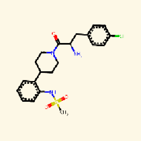 CS(=O)(=O)Nc1ccccc1C1CCN(C(=O)[C@H](N)Cc2ccc(Cl)cc2)CC1